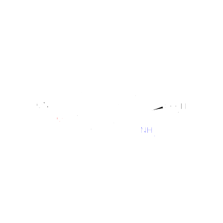 N[C@@H](Cc1ccc(ON=O)cc1)C(=O)O